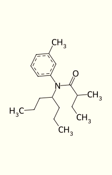 CCCC(CCC)N(C(=O)C(C)CC)c1cccc(C)c1